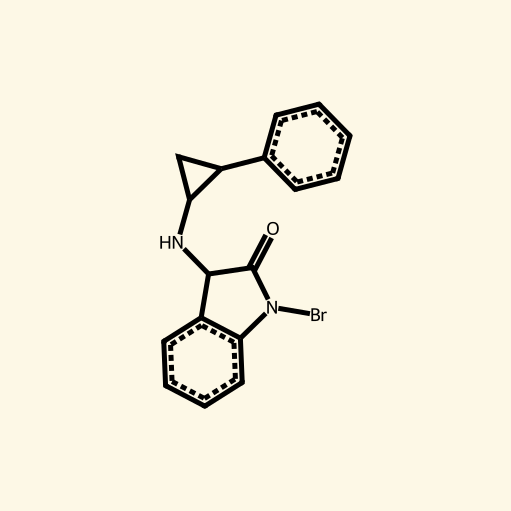 O=C1C(NC2CC2c2ccccc2)c2ccccc2N1Br